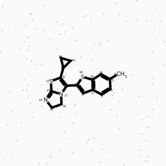 Cc1ccc2cc(C3=C(C4CC4)SC4=NCCN43)sc2c1